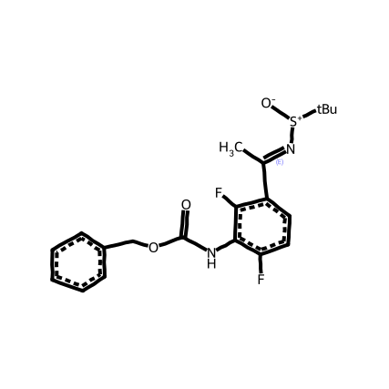 C/C(=N\[S+]([O-])C(C)(C)C)c1ccc(F)c(NC(=O)OCc2ccccc2)c1F